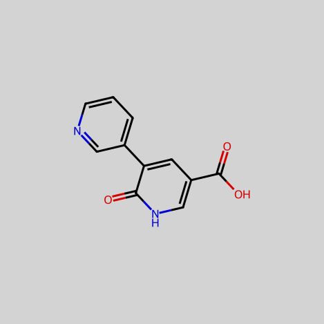 O=C(O)c1c[nH]c(=O)c(-c2cccnc2)c1